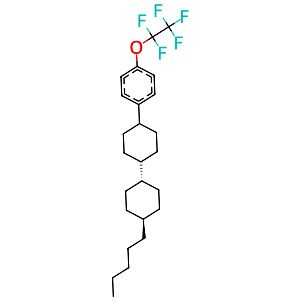 CCCCC[C@H]1CC[C@H](C2CCC(c3ccc(OC(F)(F)C(F)(F)F)cc3)CC2)CC1